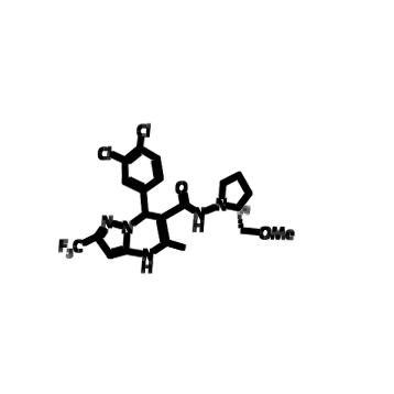 COC[C@H]1CCCN1NC(=O)C1=C(C)Nc2cc(C(F)(F)F)nn2C1c1ccc(Cl)c(Cl)c1